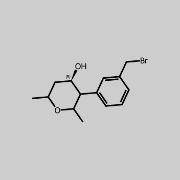 CC1C[C@@H](O)C(c2cccc(CBr)c2)C(C)O1